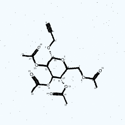 C#CCO[C@@H]1OC(COC(C)=O)[C@H](OC(C)=O)C(OC(C)=O)C1OC(C)=O